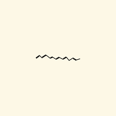 C=CC=CC=CC=CC=CCC=CC